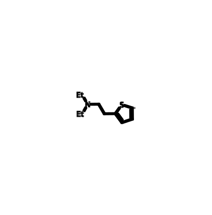 CCN(CC)CCc1cc[c]s1